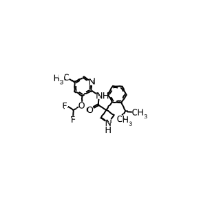 Cc1cnc(NC(=O)C2(c3ccccc3C(C)C)CNC2)c(OC(F)F)c1